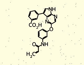 C=CC(=O)Nc1cccc(Oc2cnc3[nH]cc(-c4cccc(C(=O)O)c4)c3n2)c1